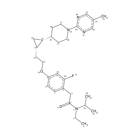 CCN(C(=O)Cc1ccc(OCC[C@@H]2C[C@@H]2C2CCN(c3ncc(C)cn3)CC2)cc1F)C(C)C